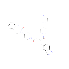 Cc1cc(CC(CC(=O)N2CCC(N3CCc4ccccc4NC3=O)CC2)C(=O)N2CCC(N3CCNCC3)CC2)cc2cnn(C)c12